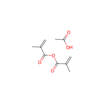 C=C(C)C(=O)OC(=O)C(=C)C.CC(=O)O